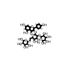 O=c1c(O[C@@H]2OC(CC[C@@H]3OC(O)[C@H](O)C(O)C3O)[C@H](O)C(O)C2O[C@@H]2OC(O)[C@H](O)C(O)C2O)c(-c2ccc(O)cc2)oc2cc(O)cc(O)c12